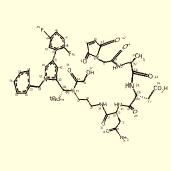 C[C@H](NC(=O)CN1C(=O)C=CC1=O)C(=O)N[C@H](CC(=O)O)C(=O)N[C@@H](CC(N)=O)C(=O)NCCCN(C(=O)CO)[C@@H](c1cc(-c2cc(F)ccc2F)cn1Cc1ccccc1)C(C)(C)C